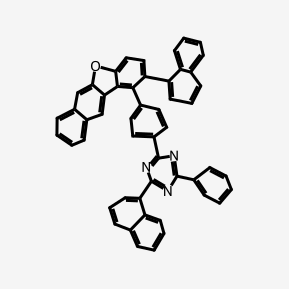 c1ccc(-c2nc(-c3ccc(-c4c(-c5cccc6ccccc56)ccc5oc6cc7ccccc7cc6c45)cc3)nc(-c3cccc4ccccc34)n2)cc1